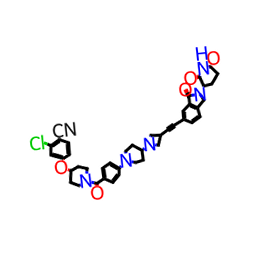 N#Cc1ccc(OC2CCN(C(=O)c3ccc(N4CCC(N5CC(C#Cc6ccc7c(c6)C(=O)N(C6CCC(=O)NC6=O)C7)C5)CC4)cc3)CC2)cc1Cl